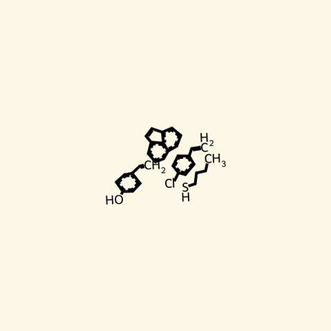 C1=Cc2cccc3cccc1c23.C=Cc1ccc(Cl)cc1.C=Cc1ccc(O)cc1.CCCCS